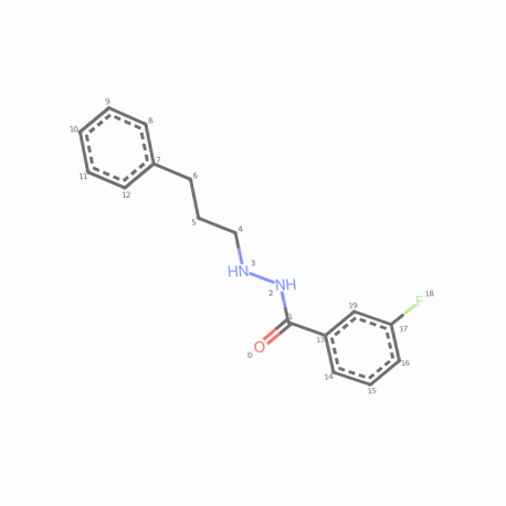 O=C(NNCCCc1ccccc1)c1cccc(F)c1